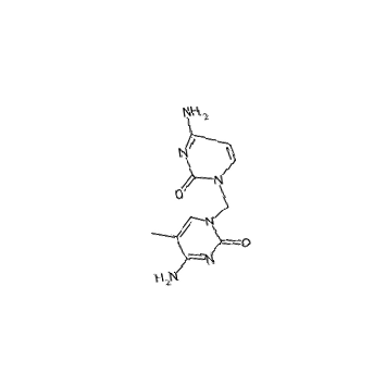 Cc1cn(Cn2ccc(N)nc2=O)c(=O)nc1N